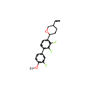 C=CC1CCC(c2ccc(-c3ccc(OCC)c(F)c3)c(F)c2F)OC1